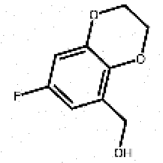 OCc1cc(F)cc2c1OCCO2